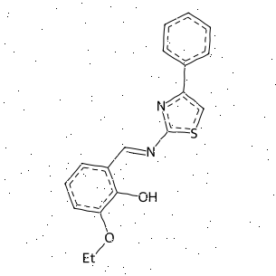 CCOc1cccc(C=Nc2nc(-c3ccccc3)cs2)c1O